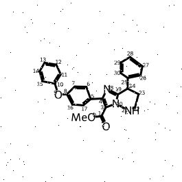 COC(=O)c1c(-c2ccc(Oc3ccccc3)cc2)nc2n1NCCC2c1ccccc1